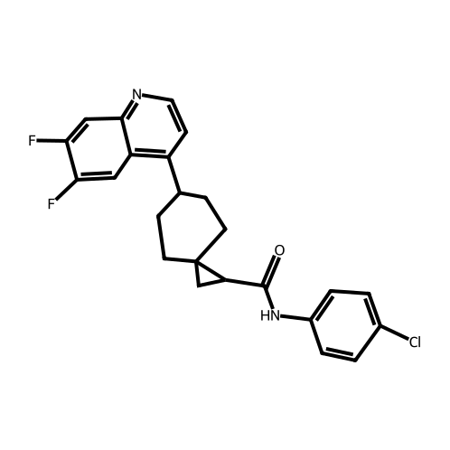 O=C(Nc1ccc(Cl)cc1)C1CC12CCC(c1ccnc3cc(F)c(F)cc13)CC2